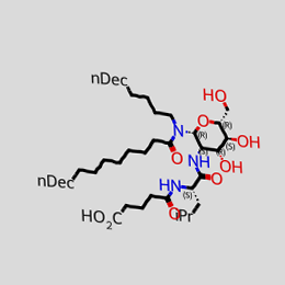 CCCCCCCCCCCCCCCCCC(=O)N(CCCCCCCCCCCCCC)[C@@H]1O[C@H](CO)[C@@H](O)[C@H](O)[C@@H]1NC(=O)[C@H](CC(C)C)NC(=O)CCCC(=O)O